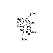 CCCCCCCCCCCCCCC(=O)CC1c2csc(NS(C)(=O)=O)c2C(CC(=O)CCCCCCCCCCCCCC)N1C(CS(C)(=O)=O)c1ccc(OC)c(OCC)c1